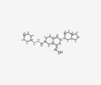 O/N=c1\cc(-c2cc3cccn3cn2)oc2ccc(OCCc3ccncc3)cc12